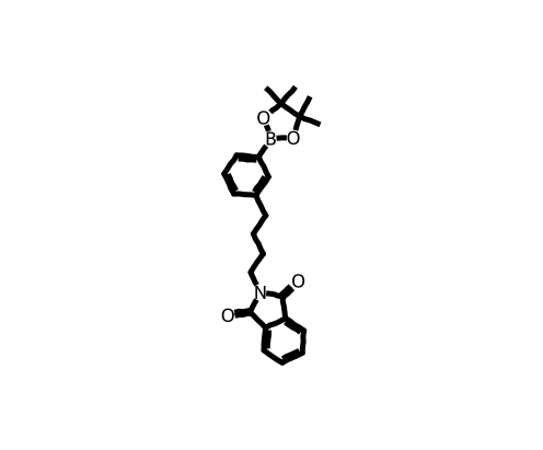 CC1(C)OB(c2cccc(CCCCN3C(=O)c4ccccc4C3=O)c2)OC1(C)C